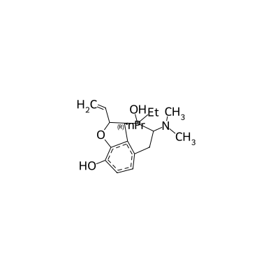 C=CC1Oc2c(O)ccc3c2[C@@]1(CCC)C(O)(CC)C(N(C)C)C3